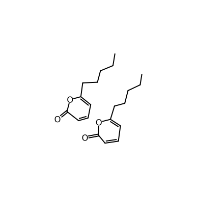 CCCCCc1cccc(=O)o1.CCCCCc1cccc(=O)o1